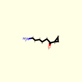 NCCCCCC(=O)C1CC1